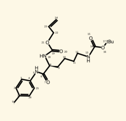 [CH2]c1ccc(NC(=O)[C@H](CCCCNC(=O)OC(C)(C)C)NC(=O)OCC=C)cc1